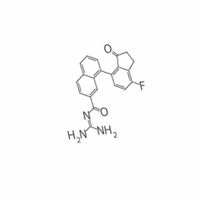 NC(N)=NC(=O)c1ccc2cccc(-c3ccc(F)c4c3C(=O)CC4)c2c1